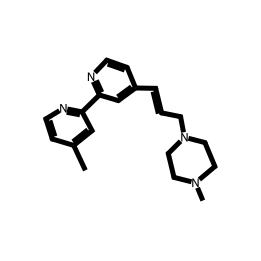 Cc1ccnc(-c2cc(C=CCN3CCN(C)CC3)ccn2)c1